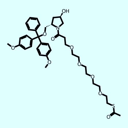 COc1ccc(C(OC[C@@H]2C[C@@H](O)CN2C(=O)CCOCCOCCOCCOCCSC(C)=O)(c2ccccc2)c2ccc(OC)cc2)cc1